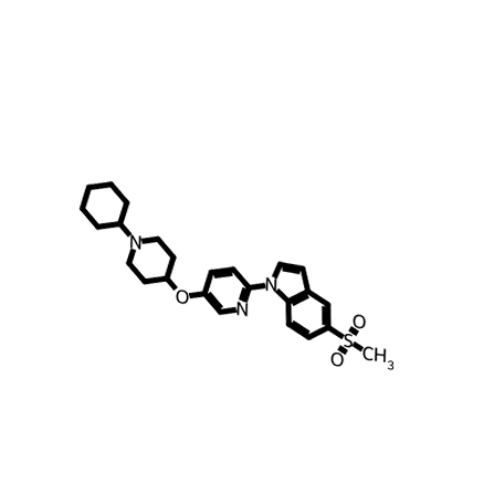 CS(=O)(=O)c1ccc2c(ccn2-c2ccc(OC3CCN(C4CCCCC4)CC3)cn2)c1